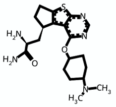 CN(C)C1CCC(Oc2ncnc3sc4c(c23)[C@@H](C[C@H](N)C(N)=O)CC4)CC1